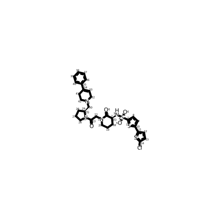 O=C1[C@@H](NS(=O)(=O)c2ccc(-c3ccc(Cl)s3)s2)CCCN1CC(=O)N1CCC[C@H]1CN1CC=C(c2ccccc2)CC1